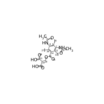 CC(=O)Nc1c(I)c(NC(C)=O)c(I)c(C(=O)OCC(C(=O)O)C(=O)O)c1I